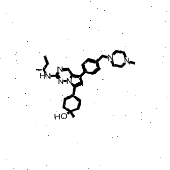 CC[C@H](C)Nc1ncc2c(-c3ccc(CN4CCN(C)CC4)cc3)cc(C3CCC(C)(O)CC3)n2n1